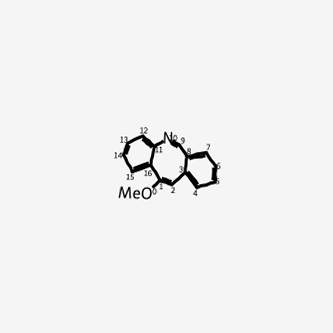 COC1=Cc2ccccc2/C=N\c2ccccc21